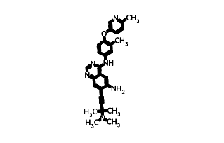 Cc1ccc(Oc2ccc(Nc3ncnc4cc(C#CC(C)(C)N(C)C)c(N)cc34)cc2C)cn1